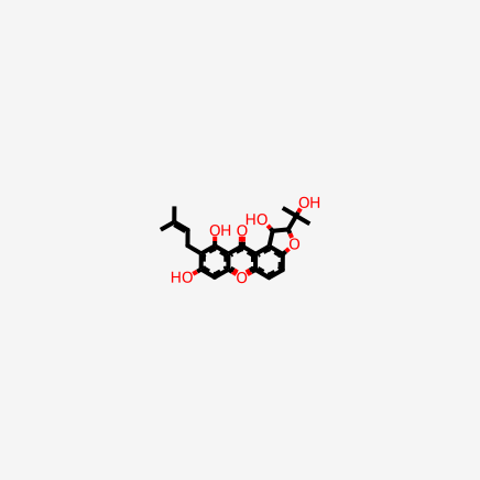 CC(C)=CCc1c(O)cc2oc3ccc4c(c3c(=O)c2c1O)C(O)C(C(C)(C)O)O4